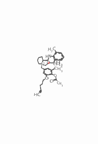 C#CCCCOc1cc(C[N+]2(CCCC)CCCCC2C(=O)Nc2c(C)cccc2C)cc(C)c1OC(C)=O